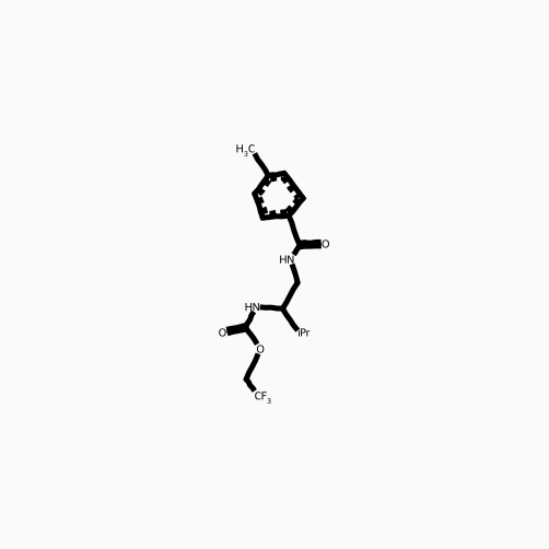 Cc1ccc(C(=O)NCC(NC(=O)OCC(F)(F)F)C(C)C)cc1